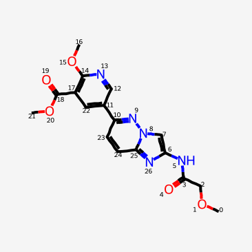 COCC(=O)Nc1cn2nc(-c3cnc(OC)c(C(=O)OC)c3)ccc2n1